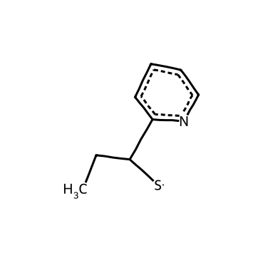 CCC([S])c1ccccn1